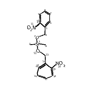 C[Si](C)(OCc1ccccc1[N+](=O)[O-])OCc1ccccc1[N+](=O)[O-]